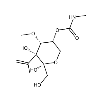 C=C(C)[C@@]1(O)[C@H](OC)[C@H](OC(=O)NC)CO[C@@]1(O)CO